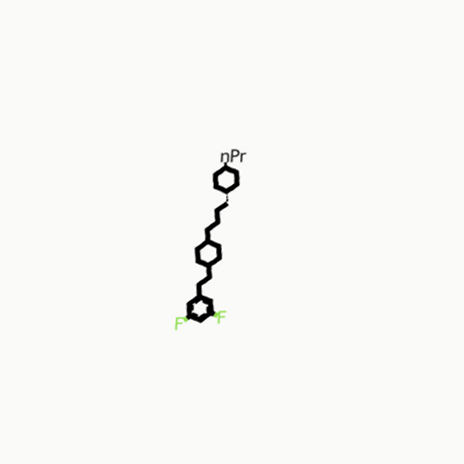 CCC[C@H]1CC[C@H](CCCCC2CCC(CCc3cc(F)cc(F)c3)CC2)CC1